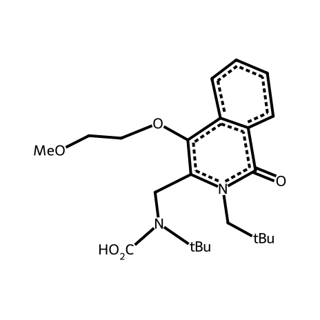 COCCOc1c(CN(C(=O)O)C(C)(C)C)n(CC(C)(C)C)c(=O)c2ccccc12